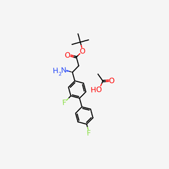 CC(=O)O.CC(C)(C)OC(=O)C[C@H](N)c1ccc(-c2ccc(F)cc2)c(F)c1